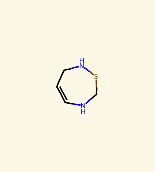 C1=CNCSNC1